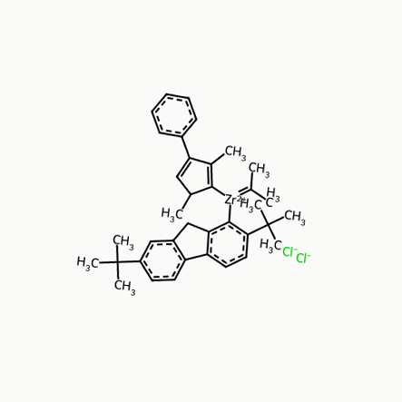 CC1=[C]([Zr+2](=[C](C)C)[c]2c(C(C)(C)C)ccc3c2Cc2cc(C(C)(C)C)ccc2-3)C(C)C=C1c1ccccc1.[Cl-].[Cl-]